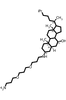 CC(C)CCC[C@@H](C)C1CCC2C3C(CC[C@@]21C)[C@@]1(C)CC[C@H](NCCCOCCCOCCCN)C[C@@H]1C[C@@H]3O